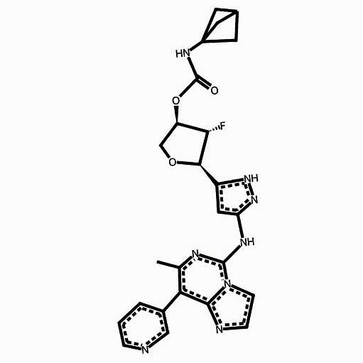 Cc1nc(Nc2cc([C@H]3OC[C@@H](OC(=O)NC45CC(C4)C5)[C@@H]3F)[nH]n2)n2ccnc2c1-c1cccnc1